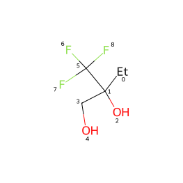 CCC(O)(CO)C(F)(F)F